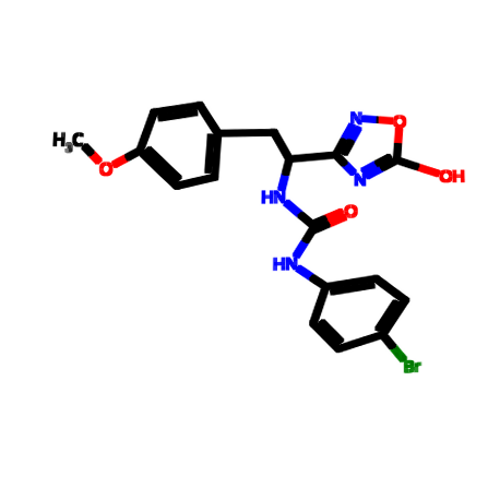 COc1ccc(CC(NC(=O)Nc2ccc(Br)cc2)c2noc(O)n2)cc1